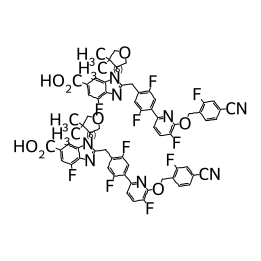 CC1(C)COC[C@H]1n1c(Cc2cc(F)c(-c3ccc(F)c(OCc4ccc(C#N)cc4F)n3)cc2F)nc2c(F)cc(C(=O)O)cc21.CC1(C)COC[C@H]1n1c(Cc2cc(F)c(-c3ccc(F)c(OCc4ccc(C#N)cc4F)n3)cc2F)nc2c(F)cc(C(=O)O)cc21